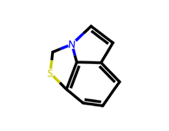 c1cc2c3c(c1)ccn3CS2